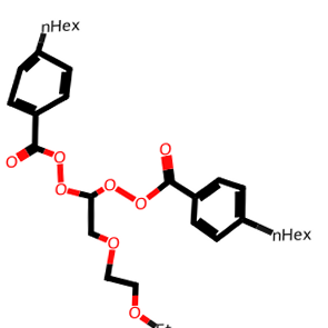 [CH2]COCCOC[C](OOC(=O)c1ccc(CCCCCC)cc1)OOC(=O)c1ccc(CCCCCC)cc1